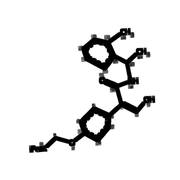 CCCC(C)COc1ccc(C(=CO)C(=O)NC(C)c2ccccc2C)cc1